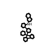 c1ccc(C2(c3cccc(-c4ccccc4Nc4ccc5ccccc5c4)c3)c3ccccc3-c3ccccc32)cc1